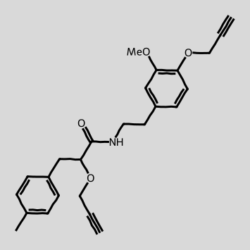 C#CCOc1ccc(CCNC(=O)C(Cc2ccc(C)cc2)OCC#C)cc1OC